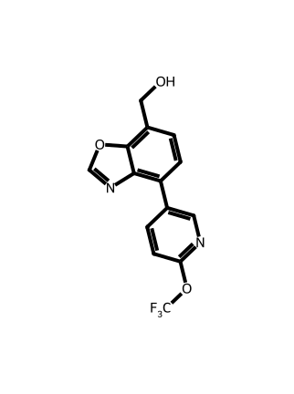 OCc1ccc(-c2ccc(OC(F)(F)F)nc2)c2ncoc12